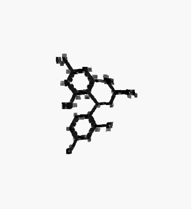 C=C1CC(c2ccc(Cl)cc2Cl)c2c(O)nc(N)nc2N1